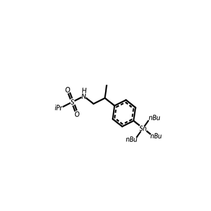 CCC[CH2][Sn]([CH2]CCC)([CH2]CCC)[c]1ccc(C(C)CNS(=O)(=O)C(C)C)cc1